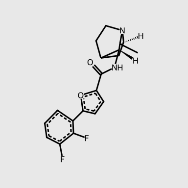 C[C@H]1[C@H](NC(=O)c2ccc(-c3cccc(F)c3F)o2)C2CCN1CC2